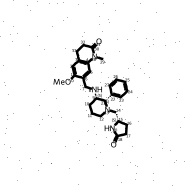 COc1cc2c(cc1CN[C@H]1CCCN(C[C@@H]3CCC(=O)N3)[C@H]1c1ccccc1)N(C)C(=O)CC2